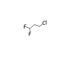 FC(F)CCCl